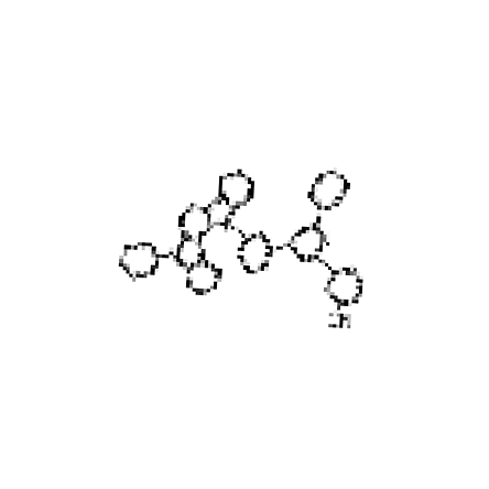 N#Cc1cccc(-c2cc(-c3cccc(-n4c5ccccc5c5ccc6c(c7ccccc7n6-c6ccccc6)c54)c3)cc(-c3ccccc3)n2)c1